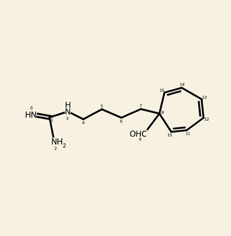 N=C(N)NCCCCC1(C=O)C=CC=CC=C1